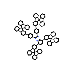 C1=CC2c3ccccc3C3(c4cc(-c5ccc(-c6ccc7c(c6)C6(c8ccccc8-c8ccccc86)c6ccccc6-7)c6nc(-c7ccc(-c8ccc9c(c8)C8(c%10ccccc%10-c%10ccccc%108)c8ccccc8-9)cc7)c(-c7ccc(-c8ccc9c(c8)C8(C%10=C(C=CCC%10)c%10ccccc%108)C8=C9C=CCC8)cc7)nc56)ccc4C4C=CC=CC43)C2C=C1